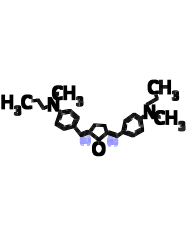 CCCN(C)c1ccc(/C=C2\CC/C(=C\c3ccc(N(C)CCC)cc3)C2=O)cc1